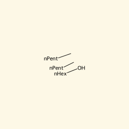 CCCCCC.CCCCCC.CCCCCCO